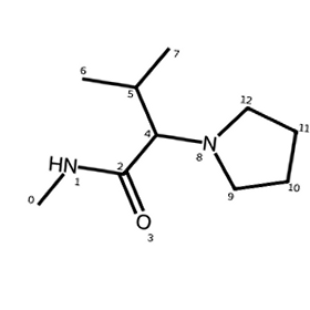 CNC(=O)C(C(C)C)N1CCCC1